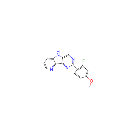 COc1ccc(-c2ncc3[nH]c4cccnc4c3n2)c(F)c1